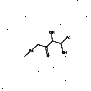 [CH3][Ra][CH2]C(=O)C(O)C(O)C(C)=O